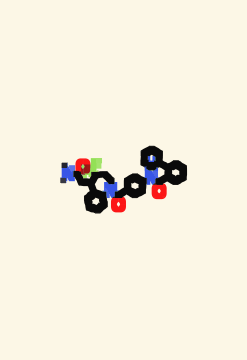 CN(C)C(=O)/C=C1/c2ccccc2N(C(=O)c2ccc(NC(=O)c3ccccc3-c3ccccc3)cc2)CCC1(F)F